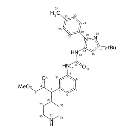 COCC(=O)C(c1cccc(NC(=O)Nc2cc(C(C)(C)C)nn2-c2ccc(C)cc2)c1)C1CCNCC1